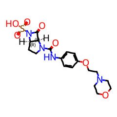 O=C(Nc1ccc(OCCN2CCOCC2)cc1)N1CC[C@@H]2[C@H]1C(=O)N2S(=O)(=O)O